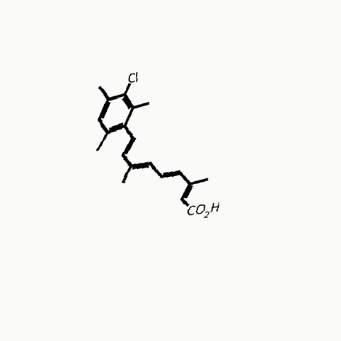 CC(C=Cc1c(C)cc(C)c(Cl)c1C)=CC=CC(C)=CC(=O)O